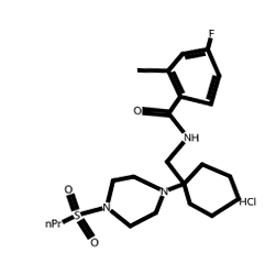 CCCS(=O)(=O)N1CCN(C2(CNC(=O)c3ccc(F)cc3C)CCCCC2)CC1.Cl